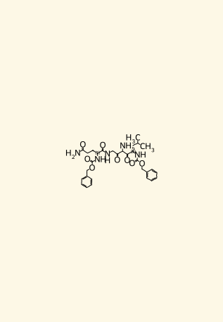 CC(C)C[C@H](NC(=O)OCc1ccccc1)C(=O)C(N)C(=O)CNC(=O)[C@H](CCC(N)=O)NC(=O)OCc1ccccc1